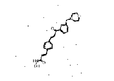 O=C(/C=C/c1ccc(/C=C/C(=O)c2cccc(CN3CCOCC3)c2)cc1)NO